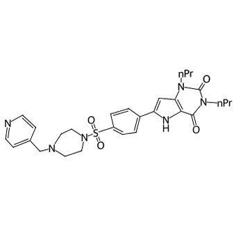 CCCn1c(=O)c2[nH]c(-c3ccc(S(=O)(=O)N4CCN(Cc5ccncc5)CC4)cc3)cc2n(CCC)c1=O